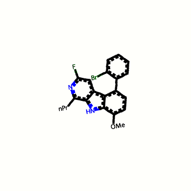 CCCc1nc(F)cc2c1[nH]c1c(OC)ccc(-c3ccccc3Br)c12